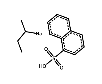 CC[CH](C)[Na].O=S(=O)(O)c1cccc2ccccc12